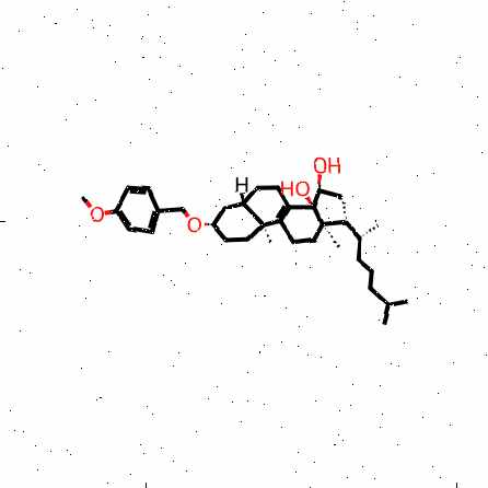 COc1ccc(CO[C@H]2CC[C@]3(C)C4=C(CC[C@H]3C2)[C@]2(O)[C@@H](O)C[C@H]([C@H](C)CCCC(C)C)[C@@]2(C)CC4)cc1